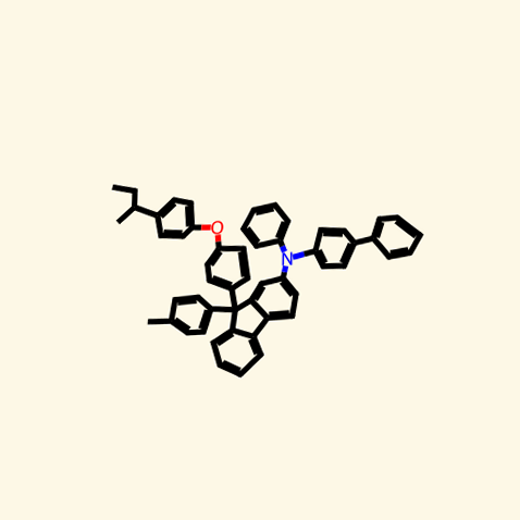 CCC(C)c1ccc(Oc2ccc(C3(c4ccc(C)cc4)c4ccccc4-c4ccc(N(c5ccccc5)c5ccc(-c6ccccc6)cc5)cc43)cc2)cc1